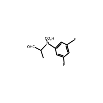 CC(C=O)N(C(=O)O)c1cc(F)cc(F)c1